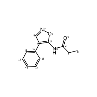 CCC(=O)Nc1oncc1-c1ccccc1